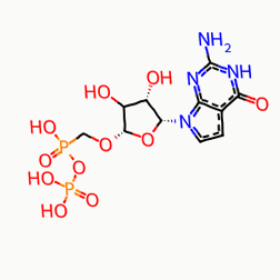 Nc1nc2c(ccn2[C@@H]2O[C@H](OCP(=O)(O)OP(=O)(O)O)C(O)[C@@H]2O)c(=O)[nH]1